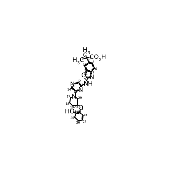 CC(C)(C(=O)O)c1ccc2nc(Nc3cncc(N4CCCC(OC5=C(O)CCC=C5)C4)n3)oc2c1